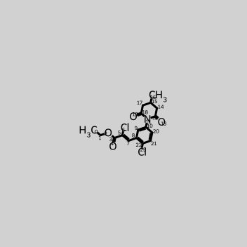 CCOC(=O)C(Cl)=Cc1cc(N2C(=O)CC(C)CC2=O)ccc1Cl